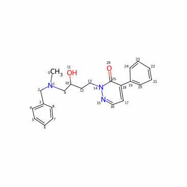 CN(Cc1ccccc1)CC(O)CCn1nccc(-c2ccccc2)c1=O